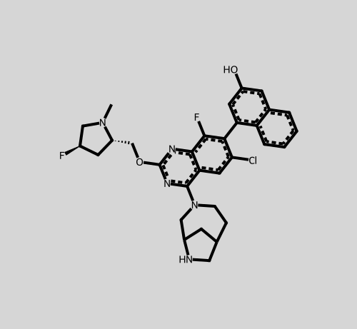 CN1C[C@H](F)C[C@H]1COc1nc(N2CCC3CNC(C3)C2)c2cc(Cl)c(-c3cc(O)cc4ccccc34)c(F)c2n1